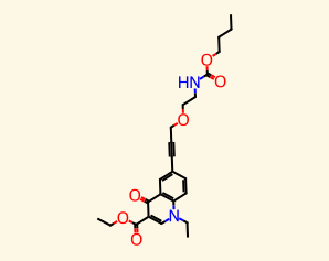 CCCCOC(=O)NCCOCC#Cc1ccc2c(c1)c(=O)c(C(=O)OCC)cn2CC